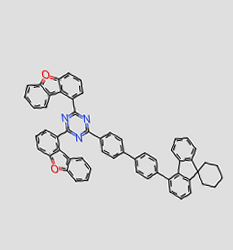 c1ccc2c(c1)-c1c(-c3ccc(-c4ccc(-c5nc(-c6cccc7oc8ccccc8c67)nc(-c6cccc7oc8ccccc8c67)n5)cc4)cc3)cccc1C21CCCCC1